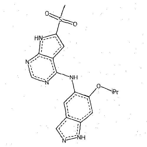 CC(C)Oc1cc2[nH]ncc2cc1Nc1ncnc2[nH]c(S(C)(=O)=O)cc12